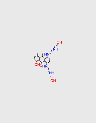 C=C1c2c(C)ccc(O)c2C(=O)c2c(NCCNCCO)ccc(NCCNCCO)c21